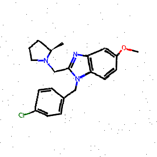 COc1ccc2c(c1)nc(CN1CCC[C@H]1C)n2Cc1ccc(Cl)cc1